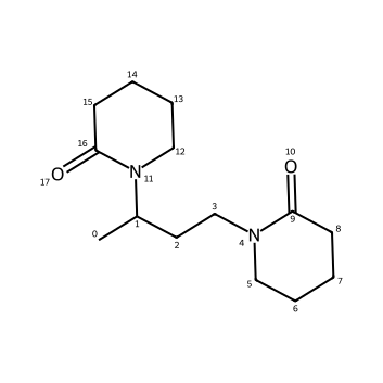 CC(CCN1CCCCC1=O)N1CCCCC1=O